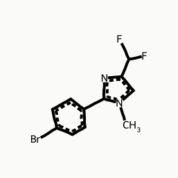 Cn1cc(C(F)F)nc1-c1ccc(Br)cc1